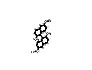 CCOc1ccc2c(-c3c(O)ccc4cc(OCC)ccc34)c(O)ccc2c1